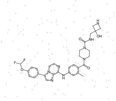 Cc1cc(Nc2nccn3c(-c4ccc(OC(F)F)cc4)cnc23)ccc1C(=O)N1CCN(C(=O)NCC2(O)CNC2)CC1